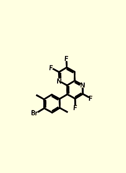 Cc1cc(-c2c(F)c(F)nc3cc(F)c(F)nc23)c(C)cc1Br